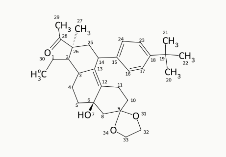 CCC1C2CC[C@@]3(O)CC4(CCC3=C2C(c2ccc(C(C)(C)C)cc2)C[C@]1(C)C(C)=O)OCCO4